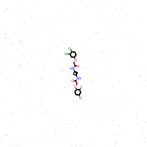 O=C(COc1ccc(Cl)c(Cl)c1)NC12CC(NC(=O)COc3ccc(Cl)cc3F)(C1)C2